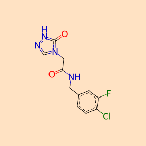 O=C(Cn1cn[nH]c1=O)NCc1ccc(Cl)c(F)c1